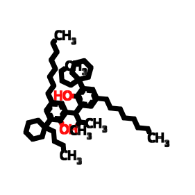 CCCCCCCCc1cc(C(c2cc(CCCCCCCC)cc(C3(CCCC)CCCCC3)c2O)C(C)C)c(O)c(C2(CCCC)CCCCC2)c1